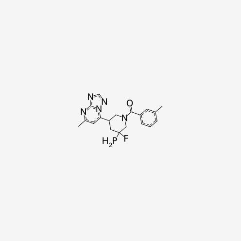 Cc1cccc(C(=O)N2CC(c3cc(C)nc4ncnn34)CC(F)(P)C2)c1